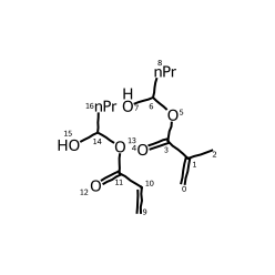 C=C(C)C(=O)OC(O)CCC.C=CC(=O)OC(O)CCC